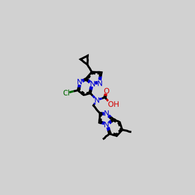 Cc1cc(C)n2cc(CN(C(=O)O)c3cc(Cl)nc4c(C5CC5)cnn34)nc2c1